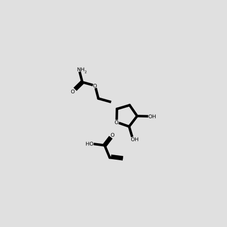 C=CC(=O)O.CCOC(N)=O.OC1CCOC1O